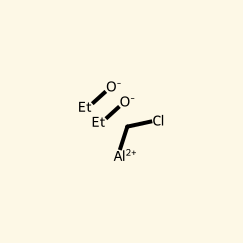 CC[O-].CC[O-].[Al+2][CH2]Cl